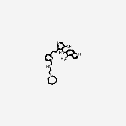 Cc1c(Nc2c(C#N)cncc2/C=C/c2cccc(CNCCN3CCCCCC3)n2)ccc2[nH]ccc12